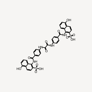 O=C(Nc1ccc(C(=O)Nc2c(S(=O)(=O)O)ccc3c(O)cccc23)cc1)C(=O)Nc1ccc(C(=O)Nc2c(S(=O)(=O)O)ccc3c(O)cccc23)cc1